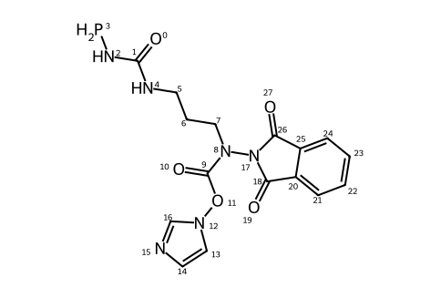 O=C(NP)NCCCN(C(=O)On1ccnc1)N1C(=O)c2ccccc2C1=O